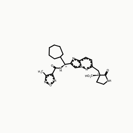 Cc1nonc1C(=O)N[C@H](c1cn2nc(C[C@@]3(C(=O)O)CCNC3=O)ccc2n1)C1CCCCCC1